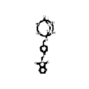 NC12CNCCNCC(NCc3ccc(OCN4C(=O)c5ccccc5C4=O)cc3)(CNCCNC1)CNCCNC2